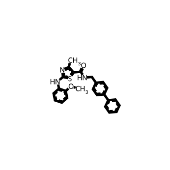 COc1ccccc1Nc1nc(C)c(C(=O)NCc2ccc(-c3ccccc3)cc2)s1